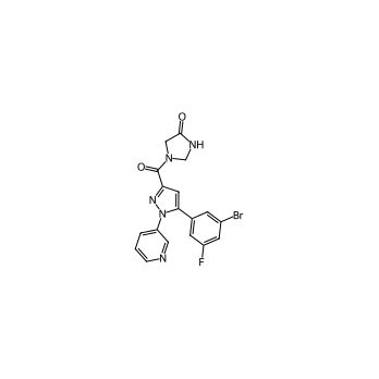 O=C1CN(C(=O)c2cc(-c3cc(F)cc(Br)c3)n(-c3cccnc3)n2)CN1